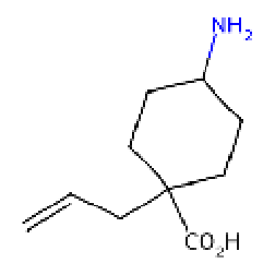 C=CCC1(C(=O)O)CCC(N)CC1